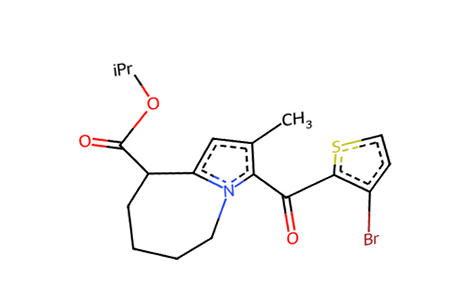 Cc1cc2n(c1C(=O)c1sccc1Br)CCCCC2C(=O)OC(C)C